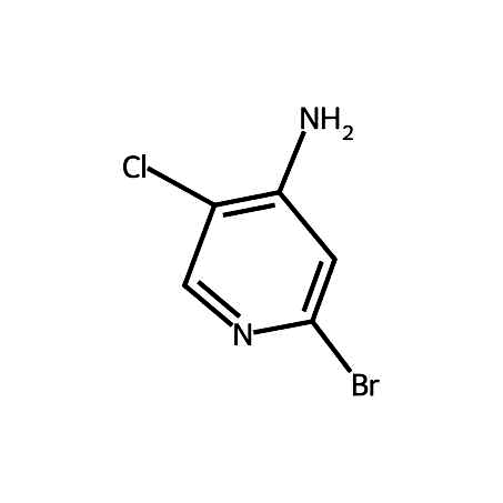 Nc1cc(Br)ncc1Cl